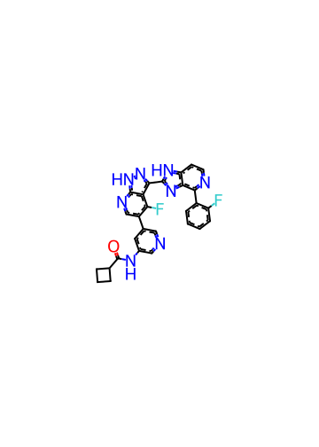 O=C(Nc1cncc(-c2cnc3[nH]nc(-c4nc5c(-c6ccccc6F)nccc5[nH]4)c3c2F)c1)C1CCC1